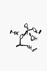 CC(N)OP(=O)(O)O.[KH]